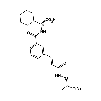 CC(C)COC(C)ONC(=O)C=Cc1cccc(C(=O)N[C@H](C(=O)O)C2CCCCC2)c1